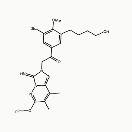 CCCOc1nn2c(=N)n(CC(=O)c3cc(CCCCO)c(OC)c(C(C)(C)C)c3)nc2c(C)c1C